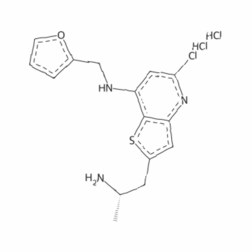 C[C@H](N)Cc1cc2nc(Cl)cc(NCc3ccco3)c2s1.Cl.Cl